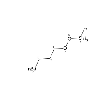 CCCCCCCOO[SiH2]C